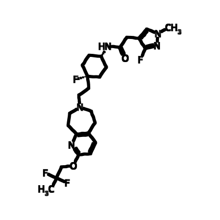 Cn1cc(CC(=O)N[C@H]2CC[C@](F)(CCN3CCc4ccc(OCC(C)(F)F)nc4CC3)CC2)c(F)n1